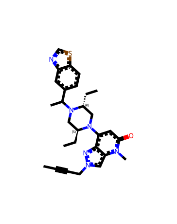 CC#CCn1cc2c(n1)c(N1C[C@@H](CC)N(C(C)c3ccc4scnc4c3)C[C@@H]1CC)cc(=O)n2C